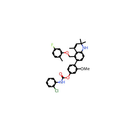 COc1cc(OC(=O)Nc2ccccc2Cl)ccc1-c1ccc2c(c1COc1cc(F)ccc1C)C(C)=CC(C)(C)N2